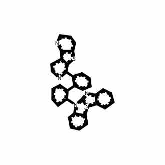 c1ccc(-c2nccc3c2sc2cccnc23)c(-c2ccccc2-n2c3ccccc3n3c4ccccc4nc23)c1